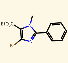 CCOC(=O)c1c(Br)nc(-c2ccccc2)n1C